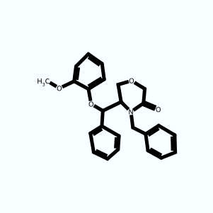 COc1ccccc1OC(c1ccccc1)C1COCC(=O)N1Cc1ccccc1